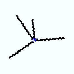 CCCCCCCCCCCCCCCCCCC[N+](CCCCCCCCCCCCC)(CCCCCCCCCCCCCCCCCCC)CCCCCCCCCCCCCCCCCCC